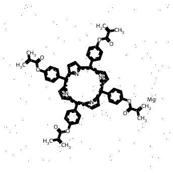 C=C(C)C(=O)Oc1ccc(-c2c3nc(c(-c4ccc(OC(=O)C(=C)C)cc4)c4ccc([nH]4)c(-c4ccc(OC(=O)C(=C)C)cc4)c4nc(c(-c5ccc(OC(=O)C(=C)C)cc5)c5ccc2[nH]5)C=C4)C=C3)cc1.[Mg]